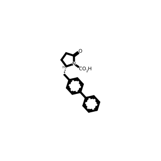 O=C(O)N1C(=O)CC[C@H]1Cc1ccc(-c2ccccc2)cc1